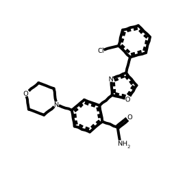 NC(=O)c1ccc(N2CCOCC2)cc1-c1nc(-c2ccccc2Cl)co1